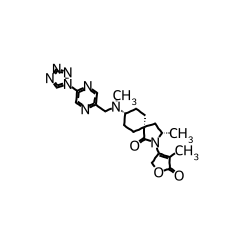 CC1=C(N2C(=O)[C@]3(CC[C@@H](N(C)Cc4cnc(-n5cnnn5)cn4)CC3)C[C@@H]2C)COC1=O